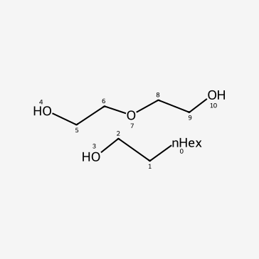 CCCCCCCCO.OCCOCCO